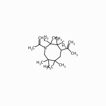 C=C(C)C1CC(C)(C)C(C)(C)CN(C(=C)C)C(C)(C)C1(C)C